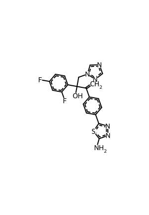 C=C(c1ccc(-c2nnc(N)s2)cc1)C(O)(Cn1cncn1)c1ccc(F)cc1F